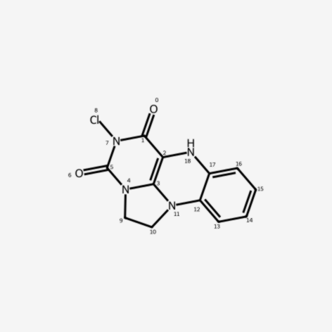 O=c1c2c3n(c(=O)n1Cl)CCN3c1ccccc1N2